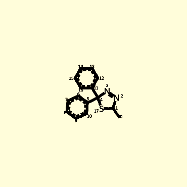 CC1N=NC(c2ccccc2)(c2ccccc2)S1